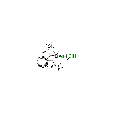 C[Si](C)(C)C1=Cc2ccccc2[CH]1[Zr]([CH3])([CH3])(=[SiH2])[CH]1C([Si](C)(C)C)=Cc2ccccc21.Cl.Cl